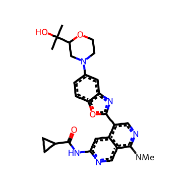 CNc1ncc(-c2nc3cc(N4CCOC(C(C)(C)O)C4)ccc3o2)c2cc(NC(=O)C3CC3)ncc12